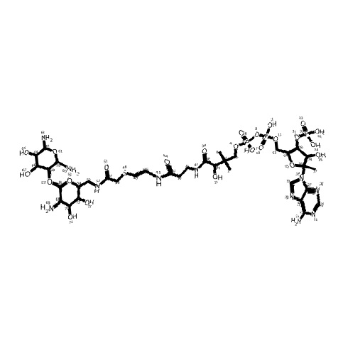 CC(C)(COP(=O)(O)OP(=O)(O)OCC1OC(C)(n2cnc3c(N)ncnc32)C(O)C1OP(=O)(O)O)C(O)C(=O)NCCC(=O)NCCSCC(=O)NCC1OC(OC2C(N)OC(N)C(O)C2O)C(N)C(O)C1O